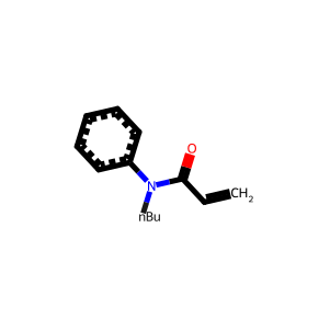 C=CC(=O)N(CCCC)c1ccccc1